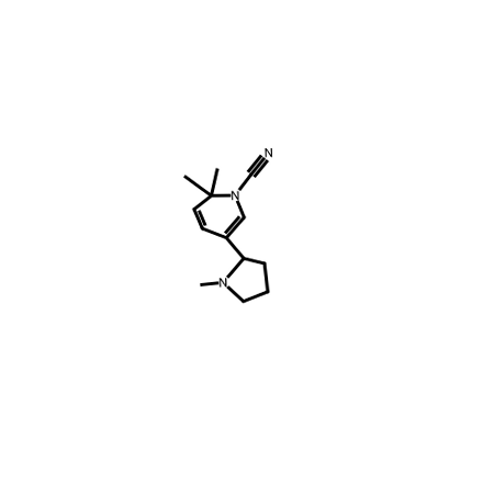 CN1CCCC1C1=CN(C#N)C(C)(C)C=C1